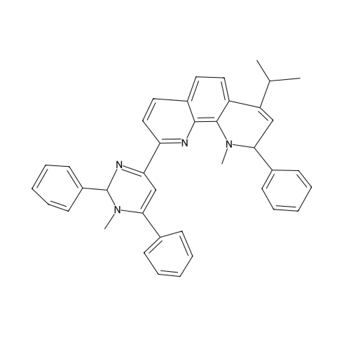 CC(C)C1=CC(c2ccccc2)N(C)c2c1ccc1ccc(C3=NC(c4ccccc4)N(C)C(c4ccccc4)=C3)nc21